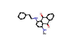 CCC(C)Nc1ccc(NC=Cc2ccccc2)c2c1C(=O)c1ccccc1C2=O